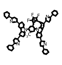 Fc1c(F)c2c(F)c(c1F)c1cc(-n3c4ccc(-c5ccc(-c6ccccc6)nc5)cc4c4cc(-c5ccc(-c6ccccc6)nc5)ccc43)c(C(F)(F)F)cc1n1c3ccc(-c4ccc(-c5ccccc5)nc4)cc3c3cc(-c4ccc(-c5ccccc5)nc4)c2cc31